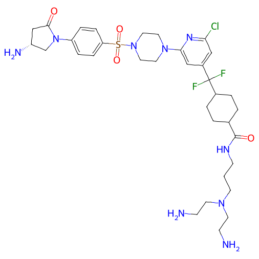 NCCN(CCN)CCCNC(=O)C1CCC(C(F)(F)c2cc(Cl)nc(N3CCN(S(=O)(=O)c4ccc(N5C[C@H](N)CC5=O)cc4)CC3)c2)CC1